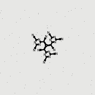 N#CC(=C1C(=C(C#N)c2nc(C#N)nc(C#N)n2)C1=C(C#N)c1nc(C#N)nc(C#N)n1)c1nc(C#N)nc(C#N)n1